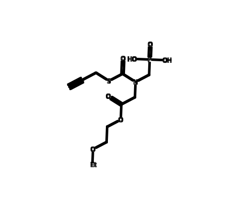 C#CCSC(=O)N(CC(=O)OCCOCC)CP(=O)(O)O